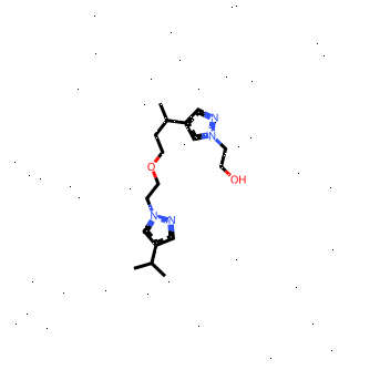 CC(C)c1cnn(CCOCCC(C)c2cnn(CCO)c2)c1